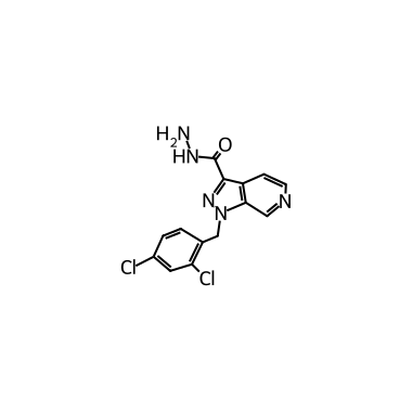 NNC(=O)c1nn(Cc2ccc(Cl)cc2Cl)c2cnccc12